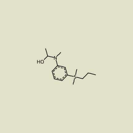 CCCS(C)(C)c1cccc(N(C)C(C)O)c1